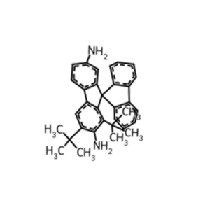 CC(C)(C)c1cc2c(c(C(C)(C)C)c1N)C1(c3ccccc3-c3ccccc31)c1cc(N)ccc1-2